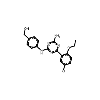 CCOc1ccc(Cl)cc1-c1nc(N)nc(Nc2ccc(CO)cc2)n1